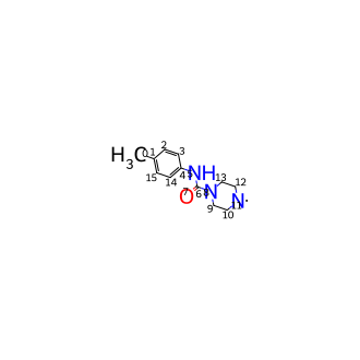 Cc1ccc(NC(=O)N2CC[N]CC2)cc1